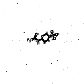 O=C(NC1CCN(P(=O)(Cl)Cl)CC1)C(F)(F)F